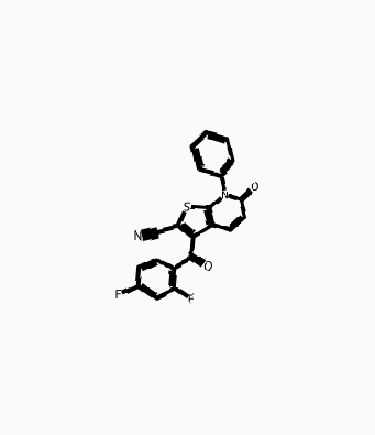 N#Cc1sc2c(ccc(=O)n2-c2ccccc2)c1C(=O)c1ccc(F)cc1F